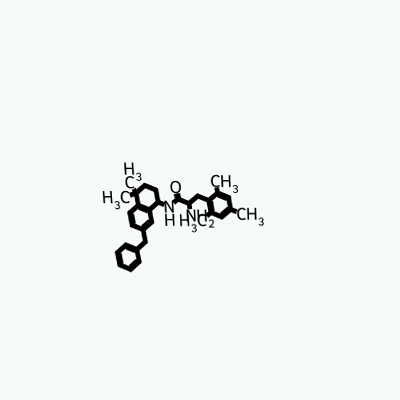 Cc1cc(C)c(CC(N)C(=O)NC2CCC(C)(C)c3ccc(Cc4ccccc4)cc32)c(C)c1